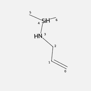 C=CCN[SiH](C)C